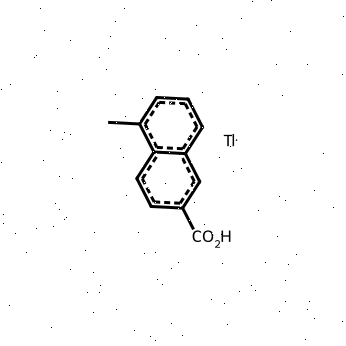 Cc1cccc2cc(C(=O)O)ccc12.[Tl]